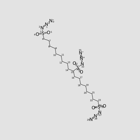 [N-]=[N+]=NS(=O)(=O)CCCCCCCCCC(CCCCCCCCS(=O)(=O)N=[N+]=[N-])S(=O)(=O)N=[N+]=[N-]